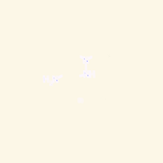 C=C/C=C\C1=C(N)C=CN(C)N1